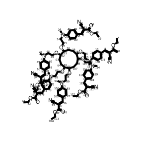 C=C(OCC)/C(C#N)=C/c1ccc(N(C)CCOC2CCC(OCCN(C)c3ccc(/C=C(\C#N)C(=O)OCC)cc3)C(OCCN(C)c3ccc(/C=C(\C#N)C(=O)OCC)cc3)CCC(OCCN(C)c3ccc(/C=C(\C#N)C(=O)OCC)cc3)C(OCCN(C)c3ccc(/C=C(\C#N)C(=O)OCC)cc3)CCC2OCCN(C)c2ccc(/C=C(\C#N)C(=O)OCC)cc2)cc1